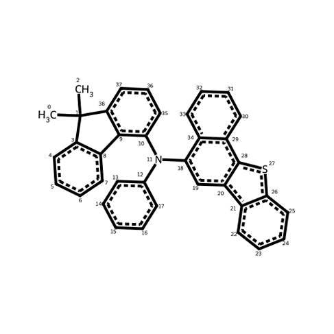 CC1(C)c2ccccc2-c2c(N(c3ccccc3)c3cc4c5ccccc5sc4c4ccccc34)cccc21